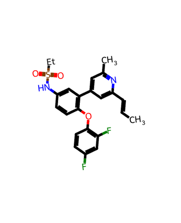 CC=Cc1cc(-c2cc(NS(=O)(=O)CC)ccc2Oc2ccc(F)cc2F)cc(C)n1